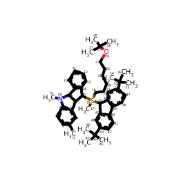 Cc1ccc2c(c1)C1C(c3ccccc3C1S(C)(CCCCCCOC(C)(C)C)C1c3cc(C(C)(C)C)ccc3-c3ccc(C(C)(C)C)cc31)N2C